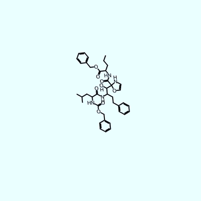 CCCC(NC(=O)C1(C(O)C(CCc2ccccc2)NC(=O)C(CC(C)C)NC(=O)OCc2ccccc2)NC=CO1)C(=O)OCc1ccccc1